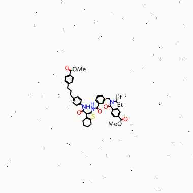 CCC(CC)N(Cc1cccc(C(=O)Nc2sc3c(c2C(=O)Nc2ccc(CCCc4ccc(C(=O)OC)cc4)cc2)CCCC3)c1)C(=O)c1ccc(C(=O)OC)cc1